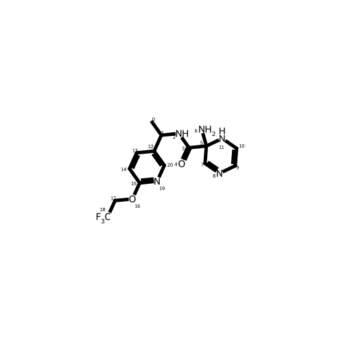 CC(NC(=O)C1(N)C=NC=CN1)c1ccc(OCC(F)(F)F)nc1